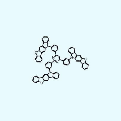 c1cc(-c2cc(-c3cccc(-n4c5ccccc5c5cc6oc7ccccc7c6cc54)c3)nc(-c3cccc(-n4c5ccccc5c5cc6oc7ccccc7c6cc54)c3)n2)cc(-n2c3ccccc3c3cc4oc5ccccc5c4cc32)c1